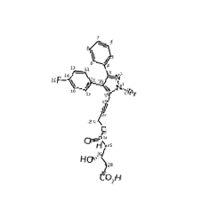 CC(C)n1nc(-c2ccccc2)c(-c2ccc(F)cc2)c1C#CCO[PH](=O)C[C@@H](O)CC(=O)O